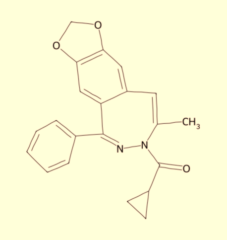 CC1=Cc2cc3c(cc2C(c2ccccc2)=NN1C(=O)C1CC1)OCO3